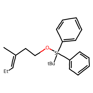 CCC=C(C)CCO[Si](c1ccccc1)(c1ccccc1)C(C)(C)C